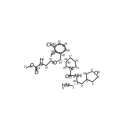 CNC[C@@H](CC1CCOCC1)NC(=O)N1CCC[C@@H](C(OCCNC(=O)OC)c2cccc(Cl)c2F)C1